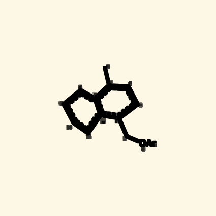 CC(=O)OCc1ccc(C)c2ccccc12